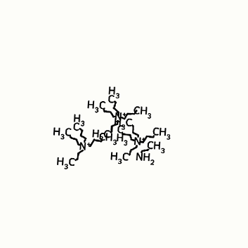 CCCC[N+](CCCC)(CCCC)CCCC.CCCC[N+](CCCC)(CCCC)CCCC.CCCC[N+](CCCC)(CCCC)CCCC.CCCN